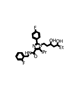 [CH2]CC(O)CC(O)CCn1c(-c2ccc(F)cc2)nc(C(=O)NCc2ccccc2F)c1C(C)C